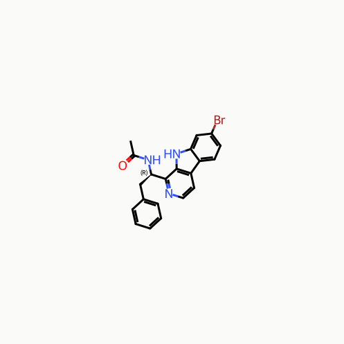 CC(=O)N[C@H](Cc1ccccc1)c1nccc2c1[nH]c1cc(Br)ccc12